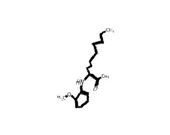 CCCCCCCCC(Nc1ccccc1OC)C(=O)O